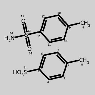 Cc1ccc(S(=O)(=O)O)cc1.Cc1ccc(S(N)(=O)=O)cc1